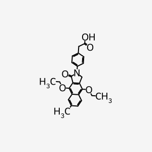 CCOc1c2c(c(OCC)c3cc(C)ccc13)C(=O)N(c1ccc(CC(=O)O)cc1)C2